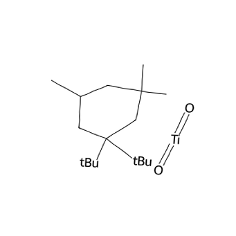 CC1CC(C)(C)CC(C(C)(C)C)(C(C)(C)C)C1.[O]=[Ti]=[O]